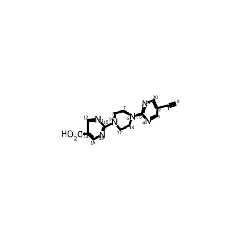 C#Cc1cnc(N2CCN(c3ncc(C(=O)O)cn3)CC2)nc1